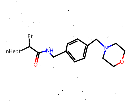 CCCCCCCC(CC)C(=O)NCc1ccc(CN2CCOCC2)cc1